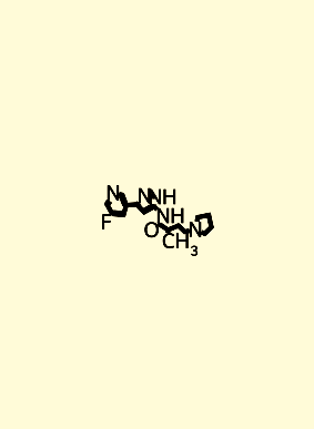 CC(CCN1CCCC1)C(=O)Nc1cc(-c2cncc(F)c2)n[nH]1